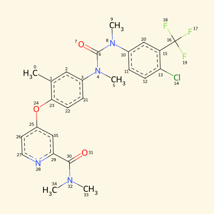 Cc1cc(N(C)C(=O)N(C)c2ccc(Cl)c(C(F)(F)F)c2)ccc1Oc1ccnc(C(=O)N(C)C)c1